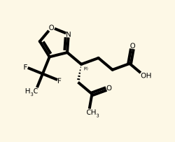 CC(=O)C[C@@H](CCC(=O)O)c1nocc1C(C)(F)F